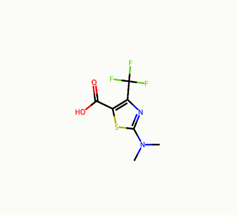 CN(C)c1nc(C(F)(F)F)c(C(=O)O)s1